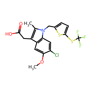 COc1cc2c(CC(=O)O)c(C)n(Cc3ccc(SC(F)(F)F)s3)c2cc1Cl